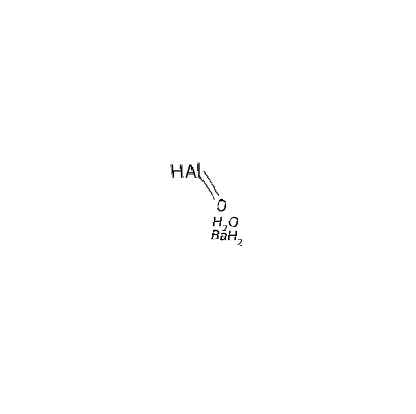 O.[BaH2].[O]=[AlH]